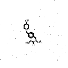 CN(Cc1ccc(CN2CCC(O)CC2)cc1)C(=O)OC(C)(C)C